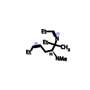 CC/C=C\C[C@@H](NC)C(C)(CC)/N=C\CC